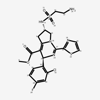 COC(=O)C1=C2C[C@H](NS(=O)(=O)CCN)CN2C(c2nccs2)=N[C@H]1c1ccc(F)cc1Cl